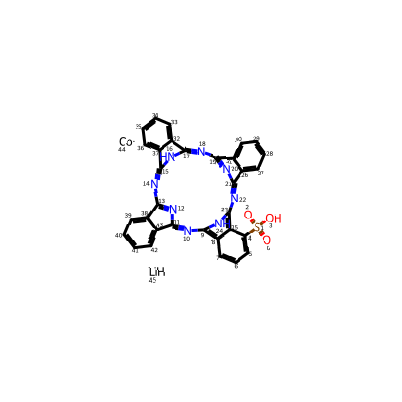 O=S(=O)(O)c1cccc2c3nc4nc(nc5[nH]c(nc6nc(nc([nH]3)c12)-c1ccccc1-6)c1ccccc51)-c1ccccc1-4.[Co].[LiH]